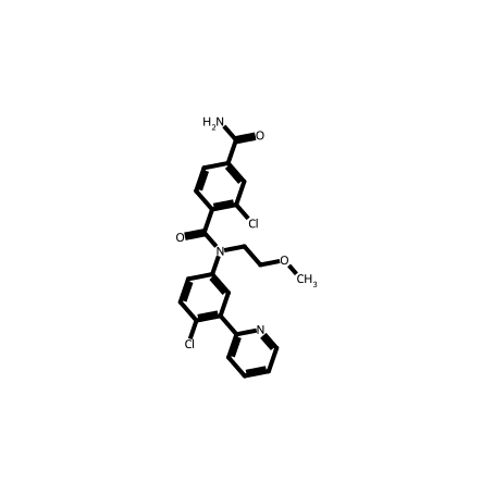 COCCN(C(=O)c1ccc(C(N)=O)cc1Cl)c1ccc(Cl)c(-c2ccccn2)c1